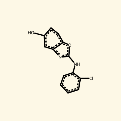 Oc1ccc2oc(Nc3ccccc3Cl)nc2c1